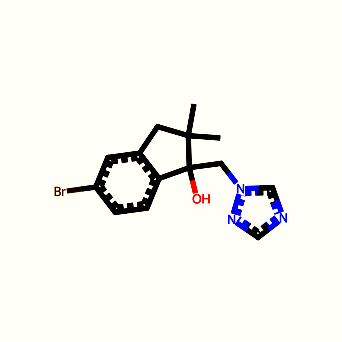 CC1(C)Cc2cc(Br)ccc2C1(O)Cn1cncn1